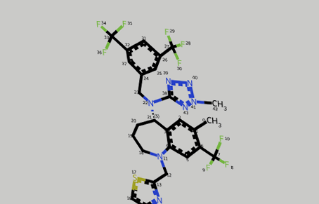 Cc1cc2c(cc1C(F)(F)F)N(Cc1nccs1)CCC[C@@H]2N(Cc1cc(C(F)(F)F)cc(C(F)(F)F)c1)c1nnn(C)n1